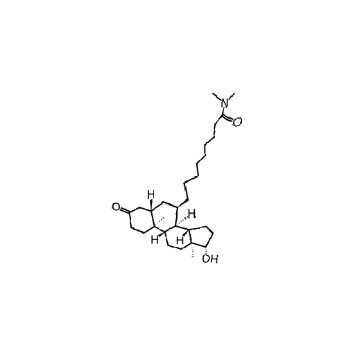 CN(C)C(=O)CCCCCCCC[C@@H]1C[C@H]2CC(=O)CC[C@]2(C)[C@H]2CC[C@]3(C)[C@@H](O)CC[C@H]3[C@H]12